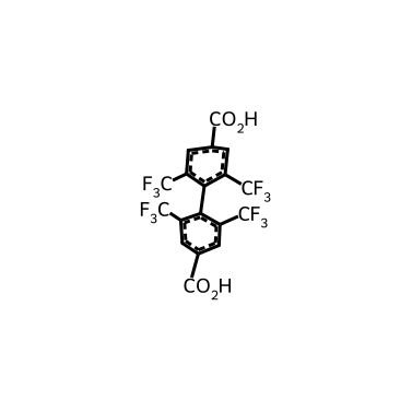 O=C(O)c1cc(C(F)(F)F)c(-c2c(C(F)(F)F)cc(C(=O)O)cc2C(F)(F)F)c(C(F)(F)F)c1